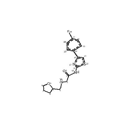 O=C(CNCC1CCCO1)Nc1nc(-c2ccc(F)cc2)cs1